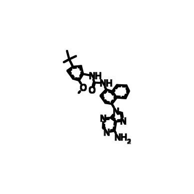 COc1ccc(C(C)(C)C)cc1NC(=O)Nc1ccc(-n2cnc3c(N)ncnc32)c2ccccc12